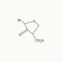 CCOC(=O)C1CSC(C(C)C)C1=O